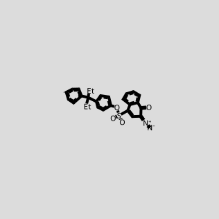 CCC(CC)(c1cc[c]cc1)c1ccc(OS(=O)(=O)C2=CC(=[N+]=[N-])C(=O)c3ccccc32)cc1